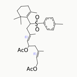 CC(=O)OC/C=C(\C)CC(/C=C(\C)CC(C1=C(C)CCCC1(C)C)S(=O)(=O)c1ccc(C)cc1)OC(C)=O